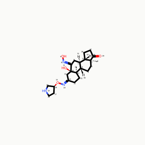 C[C@]12CC[C@H]3[C@@H](C/C(=N\O)[C@@]4(O)C/C(=N\O[C@H]5CCNC5)CC[C@]34C)[C@@H]1CCC2=O